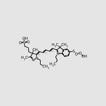 CCCN1N=C(C)C(C)(CCCS(=O)(=O)O)/C1=C/C=C/C=C/C1=[N+](CCC)c2ccc(SOOO)cc2C1(C)C